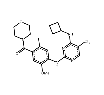 COc1cc(C(=O)N2CCOCC2)c(C)cc1Nc1ncc(C(F)(F)F)c(NC2CCC2)n1